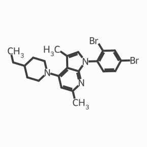 CCC1CCN(c2cc(C)nc3c2c(C)cn3-c2ccc(Br)cc2Br)CC1